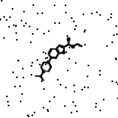 CCOC(=O)c1cc2ccc(N3CCN(C(C)C)CC3)cc2s1